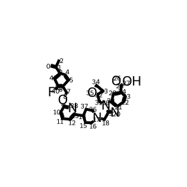 C=C(C)c1ccc(COc2cccc(C3CCN(Cc4nc5ccc(C(=O)O)cc5n4CC4CCO4)CC3)n2)c(F)c1